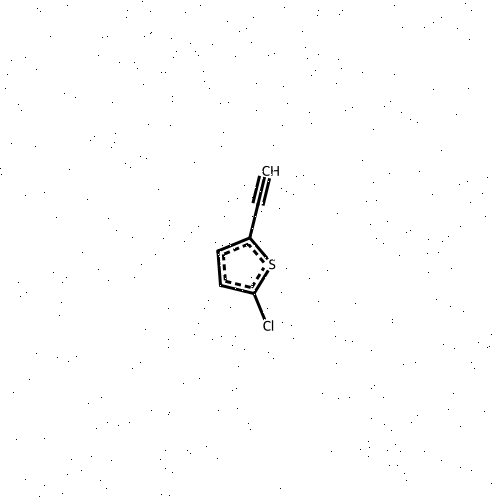 C#Cc1ccc(Cl)s1